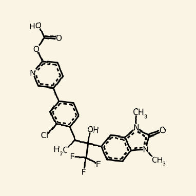 CC(c1ccc(-c2ccc(OC(=O)O)nc2)cc1Cl)C(O)(c1ccc2c(c1)n(C)c(=O)n2C)C(F)(F)F